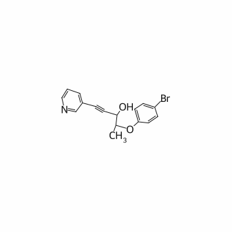 CC(Oc1ccc(Br)cc1)C(O)C#Cc1cccnc1